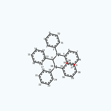 c1ccc(N(c2ccccc2)C(c2ccccn2)N(c2ccccc2)c2ccccc2)cc1